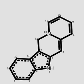 C1=CC2=Cc3[nH]c4ccccc4c3CN2C=C1